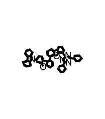 c1ccc(-c2nc(-c3ccccc3)nc(-c3cccc4c3oc3c(-c5cccc6oc7cc(-n8c9ccccc9c9ccccc98)ccc7c56)cccc34)n2)cc1